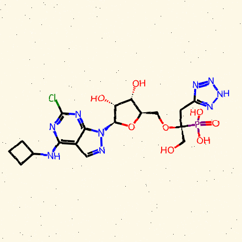 O=P(O)(O)[C@@](CO)(Cc1nn[nH]n1)OC[C@H]1O[C@@H](n2ncc3c(NC4CCC4)nc(Cl)nc32)[C@H](O)[C@@H]1O